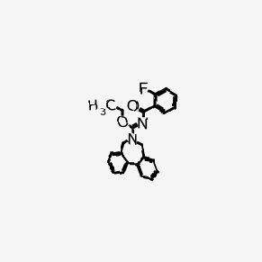 CCOC(=NC(=O)c1ccccc1F)N1Cc2ccccc2-c2ccccc2C1